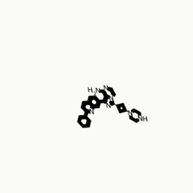 Nc1nccn2c1c(-c1ccc3ccc(C4=CCCC=C4)nc3c1)nc2[C@H]1C[C@@H](N2CCNCC2)C1